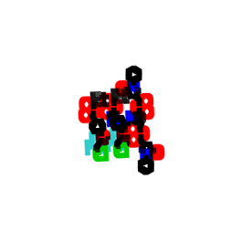 CCC(=O)OC(=O)c1ccc(OC(F)(F)C(F)Cl)cc1.CCC(=O)OC(=O)c1ccc(OC(F)(F)C(F)Cl)cc1.N[C@@H](CC(=O)OC(=O)C1CC(=O)N(c2ccccc2)C1)C(=O)OC(=O)C1CC(=O)N(c2ccccc2)C1